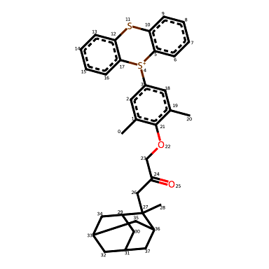 Cc1cc([S+]2c3ccccc3Sc3ccccc32)cc(C)c1OCC(=O)CC1(C)C2CC3CC(C2)CC1C3